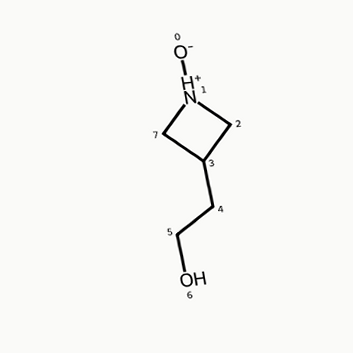 [O-][NH+]1CC(CCO)C1